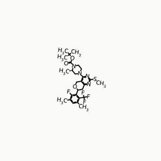 CSc1nc2c(c(N3CCN(C(=O)OC(C)(C)C)[C@H](C)C3)n1)COC(c1c(F)c(C)cc(C)c1C(F)(F)F)C2